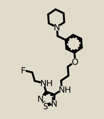 FCCNc1nsnc1NCCCOc1cccc(CN2CCCCC2)c1